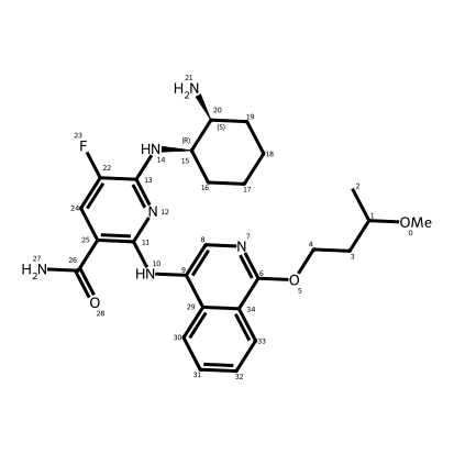 COC(C)CCOc1ncc(Nc2nc(N[C@@H]3CCCC[C@@H]3N)c(F)cc2C(N)=O)c2ccccc12